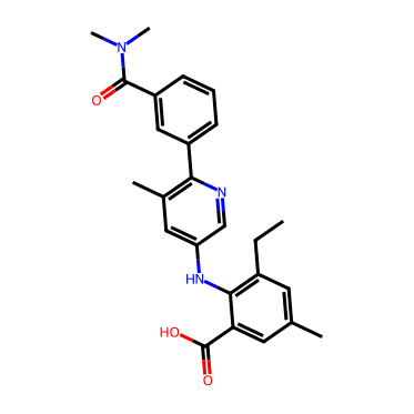 CCc1cc(C)cc(C(=O)O)c1Nc1cnc(-c2cccc(C(=O)N(C)C)c2)c(C)c1